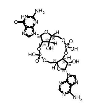 Nc1nc2c(ncn2[C@@H]2O[C@@H]3COP(=O)(O)O[C@H]4[C@@H](O)[C@H](n5cnc6c(N)ncnc65)O[C@@H]4COP(=O)(O)O[C@@H]2[C@H]3O)c(=O)[nH]1